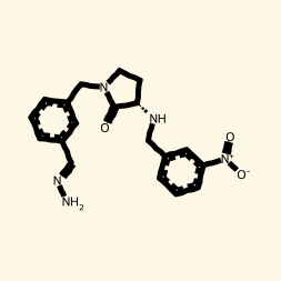 NN=Cc1cccc(CN2CC[C@H](NCc3cccc([N+](=O)[O-])c3)C2=O)c1